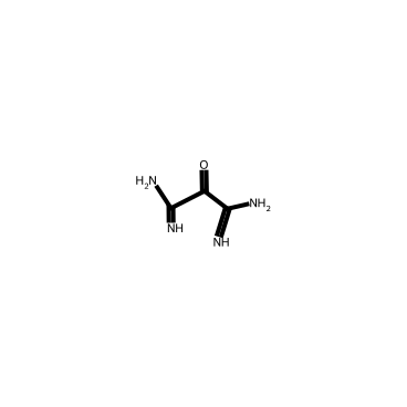 N=C(N)C(=O)C(=N)N